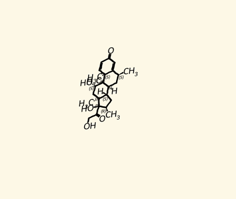 C[C@@H]1C[C@H]2[C@@H]3C[C@H](C)C4=CC(=O)C=C[C@]4(C)[C@@]3(C)[C@@H](O)C[C@]2(C)[C@@]1(O)C(=O)CO